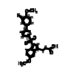 COc1ccc2c(c1)c(CCC(=O)O)cn2S(=O)(=O)c1ccc(-c2ccc(OC)c(F)c2)s1